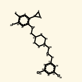 Cc1cc(C2CC2)c(OCC2CCN(SOCc3cc(Cl)cc(Cl)c3)CC2)cc1F